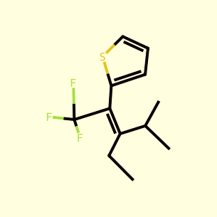 CC/C(=C(/c1cccs1)C(F)(F)F)C(C)C